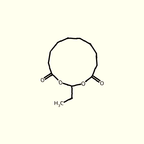 CCC1OC(=O)CCCCCCCCC(=O)O1